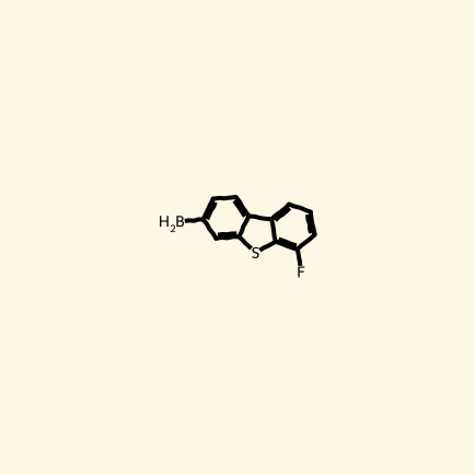 Bc1ccc2c(c1)sc1c(F)cccc12